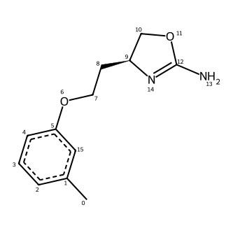 Cc1cccc(OCC[C@H]2COC(N)=N2)c1